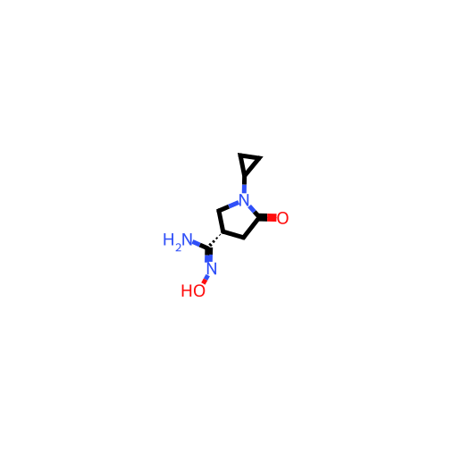 N/C(=N\O)[C@H]1CC(=O)N(C2CC2)C1